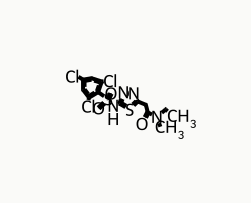 CCN(C)C(=O)Cc1nnc(NS(=O)(=O)c2c(Cl)cc(Cl)cc2Cl)s1